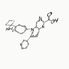 NC1(c2ccc(-n3c(-c4ccccc4)cc4nc(C(=O)O)ncc43)cc2)CCC1